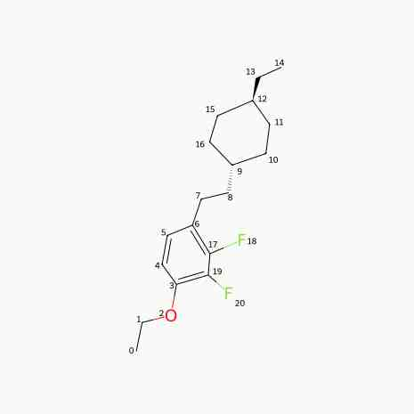 CCOc1ccc(CC[C@H]2CC[C@H](CC)CC2)c(F)c1F